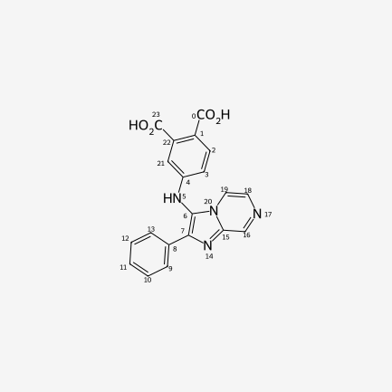 O=C(O)c1ccc(Nc2c(-c3ccccc3)nc3cnccn23)cc1C(=O)O